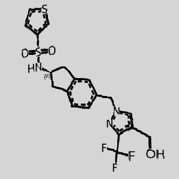 O=S(=O)(N[C@@H]1Cc2ccc(Cn3cc(CO)c(C(F)(F)F)n3)cc2C1)c1ccsc1